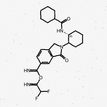 N=C(OC(=N)C(F)F)c1ccc2c(c1)C(=O)N(C1CCCC[C@H]1NC(=O)C1CCCCC1)C2